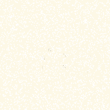 FC(F)(F)CC1(CC2(CC(F)(F)F)N=c3cc(Cl)c(Cl)cc3=N2)N=c2cc(Cl)c(Cl)cc2=N1